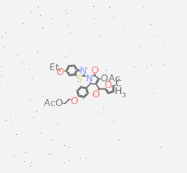 CCOc1ccc2nc(N3C(=O)C(OC(C)=O)=C(C(=O)c4ccc(C)o4)C3c3ccc(OCCOC(C)=O)cc3)sc2c1